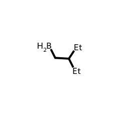 BCC(CC)CC